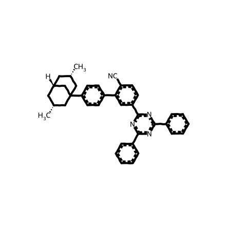 C[C@@H]1C[C@@H]2C[C@H](C)CC(c3ccc(-c4cc(-c5nc(-c6ccccc6)nc(-c6ccccc6)n5)ccc4C#N)cc3)(C1)C2